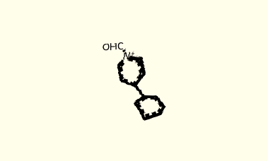 O=C[n+]1ccc(-c2ccccc2)cc1